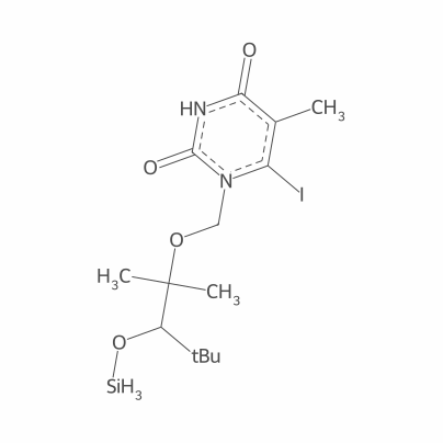 Cc1c(I)n(COC(C)(C)C(O[SiH3])C(C)(C)C)c(=O)[nH]c1=O